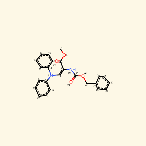 COC(=O)/C(=C\N(c1ccccc1)c1ccccc1)NC(=O)OCc1ccccc1